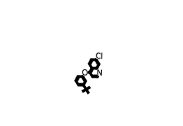 CC(C)(C)c1cccc(Oc2ccnc3cc(Cl)ccc23)c1